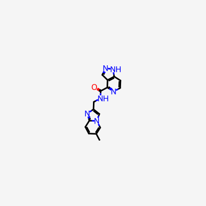 Cc1ccc2nc(CNC(=O)c3nccc4[nH]ncc34)cn2c1